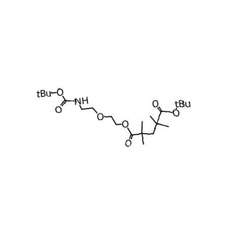 CC(C)(C)OC(=O)NCCOCCOC(=O)C(C)(C)CC(C)(C)C(=O)OC(C)(C)C